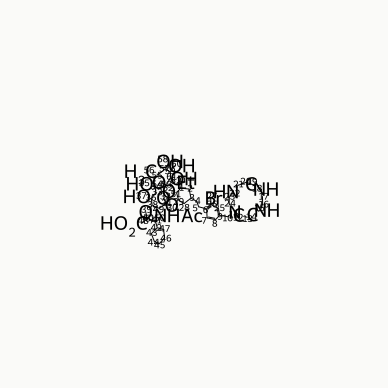 CCC1CC(CCc2ccc(CN3CCCNCCNCCCNCC3)cc2Br)CC(OC2OC(CO)C(O)C(O[C@@H](CC3CCCCC3)C(=O)O)C2NC(C)=O)C1OC1OC(C)C(O)C(O)C1O